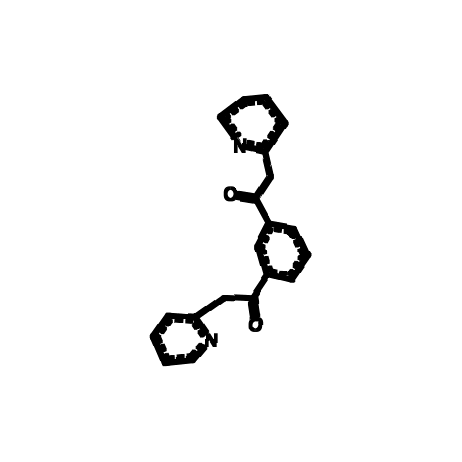 O=C(Cc1ccccn1)c1cccc(C(=O)Cc2ccccn2)c1